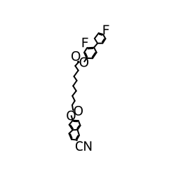 N#Cc1ccc2cc(OC(=O)CCCCCCCCCC(=O)Oc3ccc(C4C=CC(F)=CC4)c(F)c3)ccc2c1